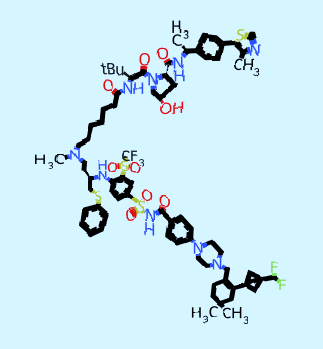 Cc1ncsc1-c1ccc([C@H](C)NC(=O)[C@@H]2C[C@@H](O)CN2C(=O)[C@@H](NC(=O)CCCCCCN(C)CC[C@H](CSc2ccccc2)Nc2ccc(S(=O)(=O)NC(=O)c3ccc(N4CCN(CC5=C(C67CC(C(F)F)(C6)C7)CC(C)(C)CC5)CC4)cc3)cc2S(=O)(=O)C(F)(F)F)C(C)(C)C)cc1